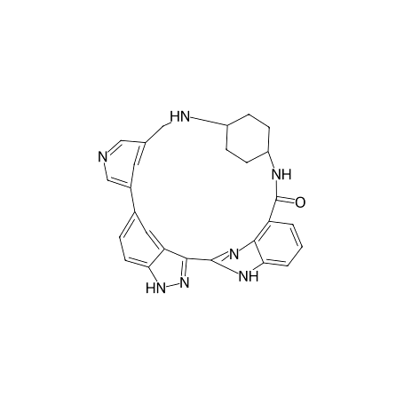 O=C1NC2CCC(CC2)NCc2cncc(c2)-c2ccc3[nH]nc(c3c2)-c2nc3c1cccc3[nH]2